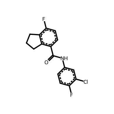 O=C(Nc1ccc(F)c(Cl)c1)c1ccc(F)c2c1CCC2